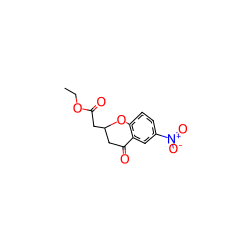 CCOC(=O)CC1CC(=O)c2cc([N+](=O)[O-])ccc2O1